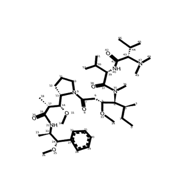 CC[C@H](C)[C@@H]([C@@H](CC(=O)N1CCC[C@H]1[C@H](OC)[C@@H](C)C(=O)N[C@H](C)[C@@H](OC)c1ccccc1)OC)N(C)C(=O)[C@@H](NC(=O)[C@H](C(C)C)N(C)C)C(C)C